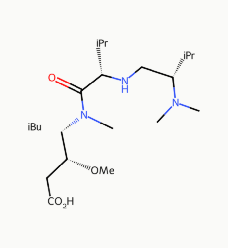 CC[C@H](C)[C@@H]([C@@H](CC(=O)O)OC)N(C)C(=O)[C@@H](NC[C@H](C(C)C)N(C)C)C(C)C